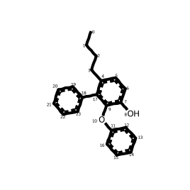 CCCCc1ccc(O)c(Oc2ccccc2)c1-c1ccccc1